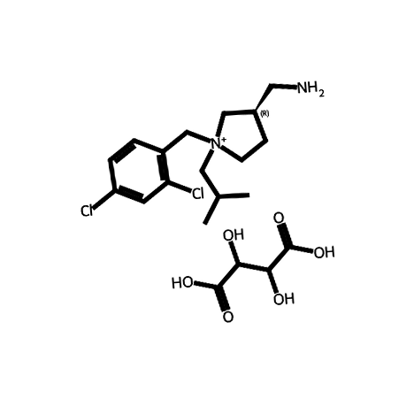 CC(C)C[N+]1(Cc2ccc(Cl)cc2Cl)CC[C@H](CN)C1.O=C(O)C(O)C(O)C(=O)O